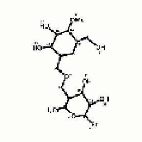 CCC1OC(C)C(COCC2CC(CO)C(OC)C(O)C2O)C(O)C1O